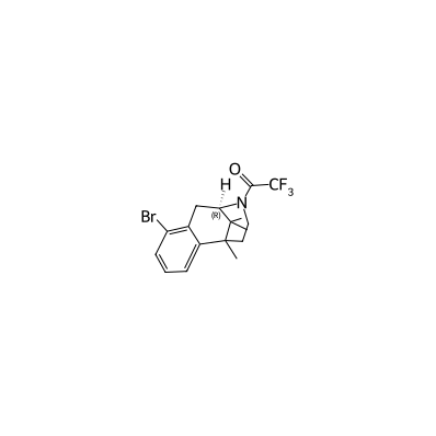 CC12CCN(C(=O)C(F)(F)F)[C@H](Cc3c(Br)cccc31)C2(C)C